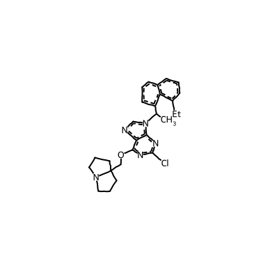 CCc1cccc2cccc(C(C)n3cnc4c(OCC56CCCN5CCC6)nc(Cl)nc43)c12